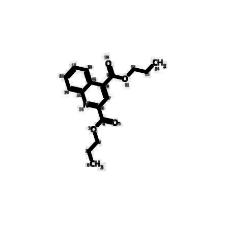 CCCOC(=O)c1cc(C(=O)OCCC)c2ccccc2n1